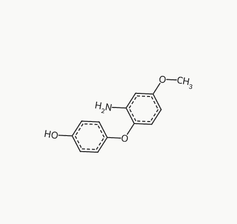 COc1ccc(Oc2ccc(O)cc2)c(N)c1